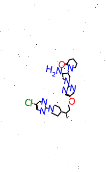 C[C@H](CCOc1cnc(N2C[C@H](N)[C@@H](N3CCCCC3=O)C2)nc1)C1CCN(c2ncc(Cl)cn2)CC1